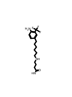 [NH]C(=O)CCCNCCCCCCc1ccc(N)c(C(F)(F)F)c1